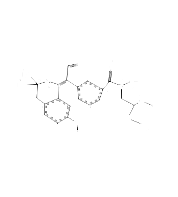 COc1ccc2c(c1)/C(=C(/C=O)c1cccc(C(=O)N(C)CC(OC)OC)c1)NC(C)(C)C2